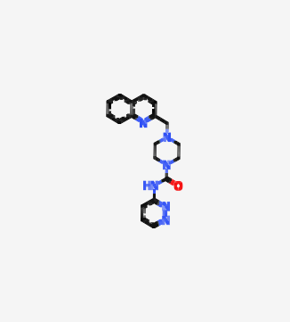 O=C(Nc1cccnn1)N1CCN(Cc2ccc3ccccc3n2)CC1